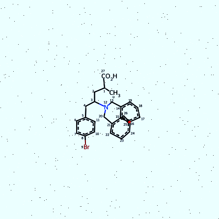 CC(CC(Cc1ccc(Br)cc1)N(Cc1ccccc1)Cc1ccccc1)C(=O)O